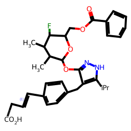 CC(C)c1[nH]nc(OC2OC(COC(=O)c3ccccc3)C(F)C(C)C2C)c1Cc1ccc(/C=C/CC(=O)O)cc1